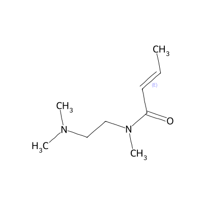 C/C=C/C(=O)N(C)CCN(C)C